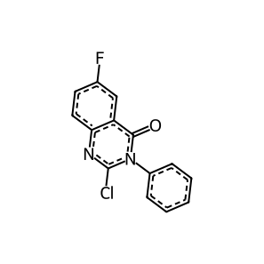 O=c1c2cc(F)ccc2nc(Cl)n1-c1ccccc1